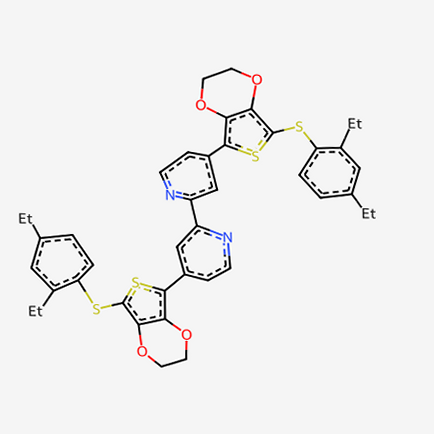 CCc1ccc(Sc2sc(-c3ccnc(-c4cc(-c5sc(Sc6ccc(CC)cc6CC)c6c5OCCO6)ccn4)c3)c3c2OCCO3)c(CC)c1